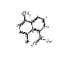 Cc1ncc(F)c2c([N+](=O)[O-])cccc12